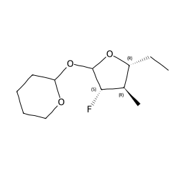 CC[C@H]1OC(OC2CCCCO2)[C@@H](F)[C@@H]1C